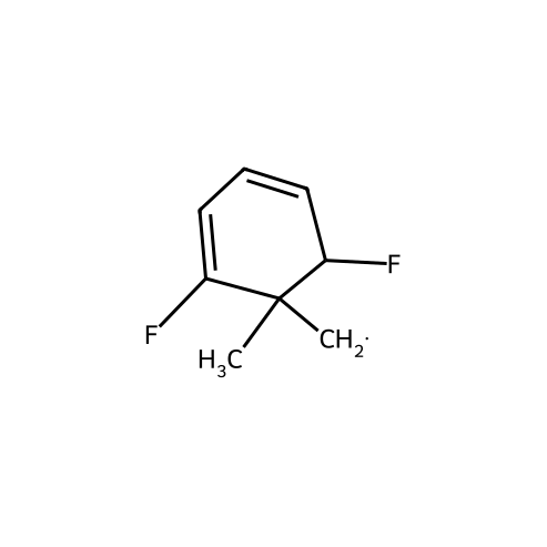 [CH2]C1(C)C(F)=CC=CC1F